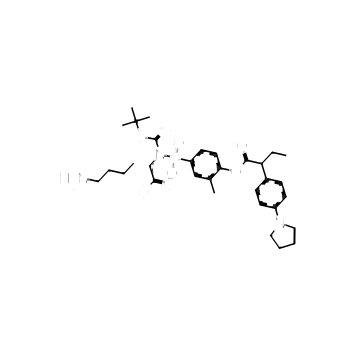 CCC(C(=O)Oc1ccc(S(=O)(=O)N(C(=O)OC(C)(C)C)[C@@H](CCCCN)C(=O)O)cc1C)c1ccc(N2CCCC2)cc1